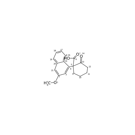 COc1cc(C2(C(=O)O)CCCCC2=O)c2ccccc2c1